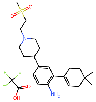 CC1(C)CC=C(c2cc(C3CCN(CCS(C)(=O)=O)CC3)ccc2N)CC1.O=C(O)C(F)(F)F